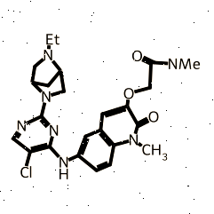 CCN1CC2CC1CN2c1ncc(Cl)c(Nc2ccc3c(c2)cc(OCC(=O)NC)c(=O)n3C)n1